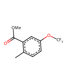 COC(=O)c1cc(OC(F)(F)F)ccc1C